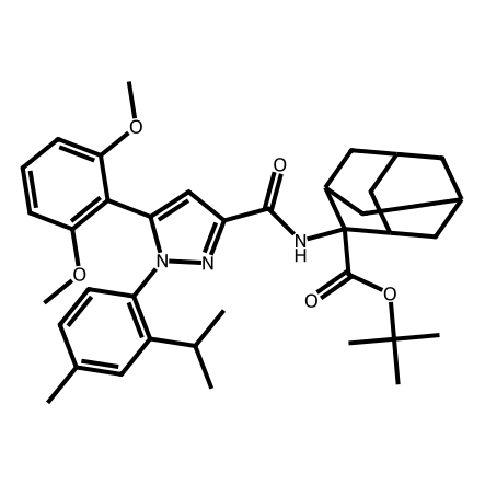 COc1cccc(OC)c1-c1cc(C(=O)NC2(C(=O)OC(C)(C)C)C3CC4CC(C3)CC2C4)nn1-c1ccc(C)cc1C(C)C